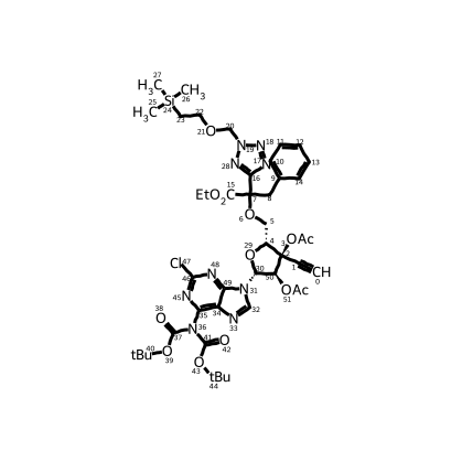 C#C[C@@]1(OC(C)=O)[C@@H](COC(Cc2ccccc2)(C(=O)OCC)c2nnn(COCC[Si](C)(C)C)n2)O[C@@H](n2cnc3c(N(C(=O)OC(C)(C)C)C(=O)OC(C)(C)C)nc(Cl)nc32)[C@@H]1OC(C)=O